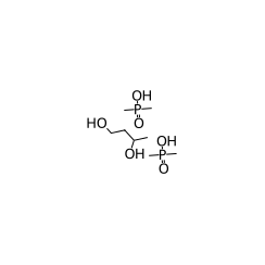 CC(O)CCO.CP(C)(=O)O.CP(C)(=O)O